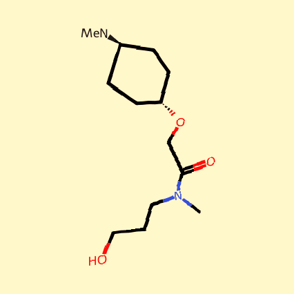 CN[C@H]1CC[C@H](OCC(=O)N(C)CCCO)CC1